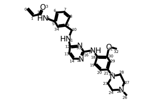 C=CC(=O)Nc1cccc(CNc2ccnc(Nc3ccc(N4CCN(C)CC4)cc3OC)n2)c1